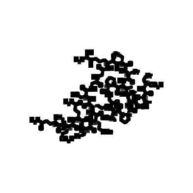 CSCC[C@H](NC(=O)[C@H](CC(C)C)NC(=O)[C@H](CCC(N)=O)NC(=O)[C@H](CCC(=O)O)NC(=O)[C@@H](N)CCC(N)=O)C(=O)N[C@@H](CCC(=O)O)C(=O)N[C@@H](CO)C(=O)NCC(=O)NCC(=O)N[C@@H](CCCNC(=N)N)C(=O)N[C@@H](CC(C)C)C(=O)N[C@H](C(=O)N[C@H](C(=O)N1CCC[C@H]1C(=O)NCC(=O)N[C@H](C(=O)N1CCC[C@H]1C(=O)N[C@@H](CC(C)C)C(=O)N[C@H](C(=O)N[C@@H](CC(C)C)C(=O)O)[C@@H](C)O)[C@@H](C)O)[C@@H](C)O)C(C)C